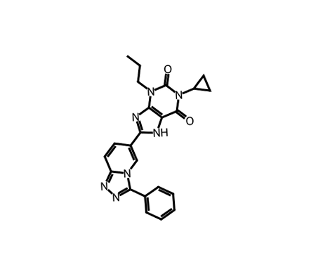 CCCn1c(=O)n(C2CC2)c(=O)c2[nH]c(-c3ccc4nnc(-c5ccccc5)n4c3)nc21